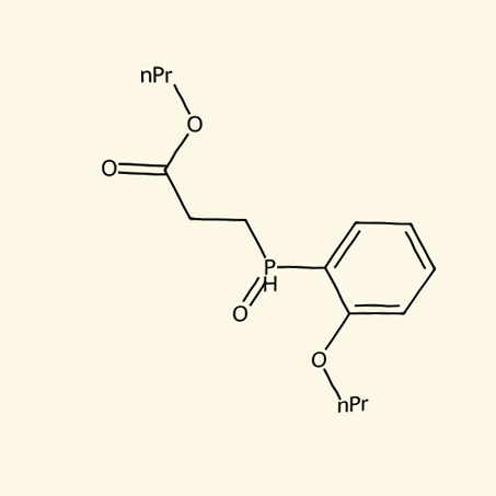 CCCOC(=O)CC[PH](=O)c1ccccc1OCCC